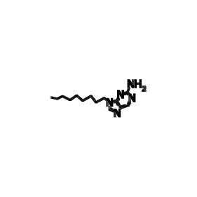 CCCCCCCCCn1cnc2cnc(N)nc21